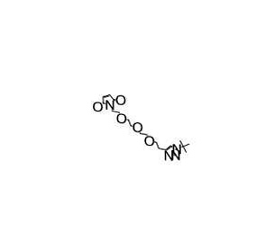 CC(C)(C)n1cc(CCOCCOCCOCCN2C(=O)C=CC2=O)nn1